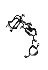 N#Cc1cnc(NCc2cc(Cl)ccc2Cl)nc1NC[C@]12CC3C[C@H](C1)[C@@H](N)[C@@H](C3)C2